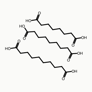 O=C(O)CCCCCCC(=O)O.O=C(O)CCCCCCCC(=O)O.O=C(O)CCCCCCCCC(=O)O